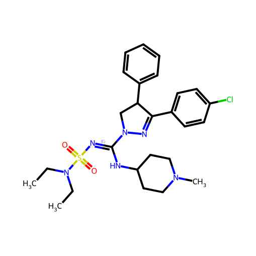 CCN(CC)S(=O)(=O)/N=C(\NC1CCN(C)CC1)N1CC(c2ccccc2)C(c2ccc(Cl)cc2)=N1